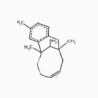 Cc1ccc2c(c1)C1(C)CC/C=C\CC(C)(C2)C1N